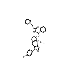 C[C@@H]1C2=C(CC[C@@H]2CC(NC(=O)CCc2ccccc2)c2ccccc2)Cc2c1cnn2-c1ccc(F)cc1